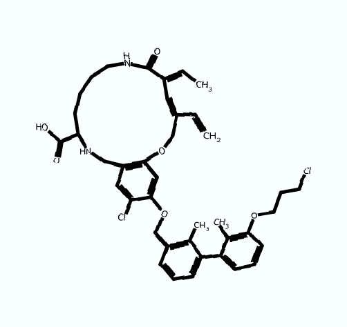 C=C/C1=C\C(=C/C)C(=O)NCCCCC(C(=O)O)NCc2cc(Cl)c(OCc3cccc(-c4cccc(OCCCCl)c4C)c3C)cc2OC1